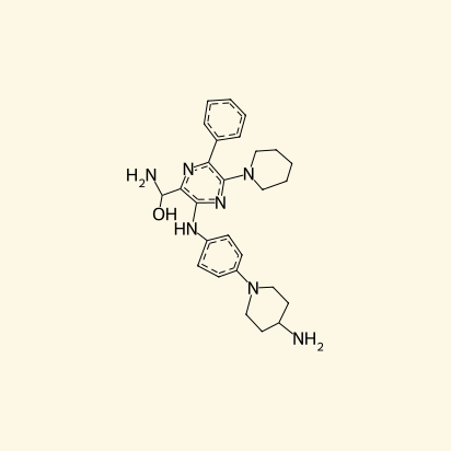 NC1CCN(c2ccc(Nc3nc(N4CCCCC4)c(-c4ccccc4)nc3C(N)O)cc2)CC1